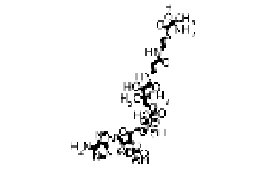 CC(N)(O)C(=O)SCCNC(=O)CCNC(=O)C(O)C(C)(C)COP(=O)(O)OP(=O)(O)OC[C@H]1O[C@@H](n2cnc3c(N)ncnc32)[C@H](O)[C@@H]1OP(=O)(O)O